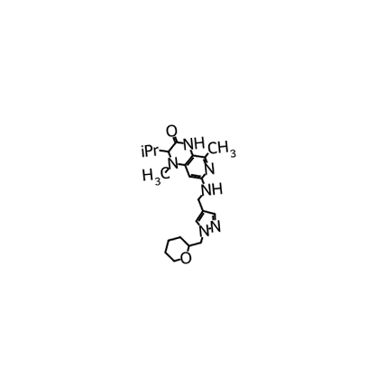 Cc1nc(NCc2cnn(CC3CCCCO3)c2)cc2c1NC(=O)C(C(C)C)N2C